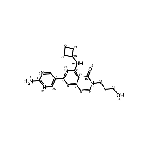 Nc1ncc(-c2cc3ccn(CCCO)c(=O)c3c(NC3CCC3)n2)cn1